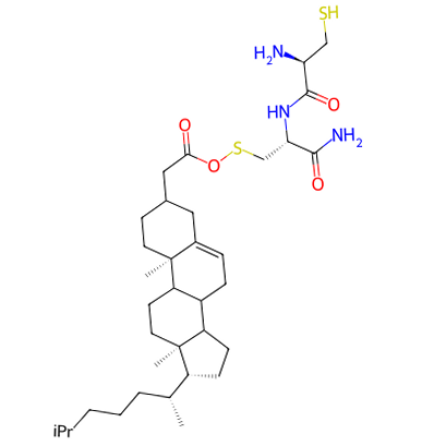 CC(C)CCC[C@@H](C)[C@H]1CCC2C3CC=C4CC(CC(=O)OSC[C@H](NC(=O)[C@@H](N)CS)C(N)=O)CC[C@]4(C)C3CC[C@@]21C